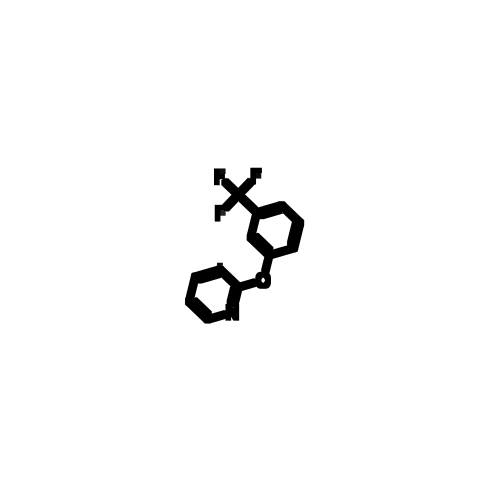 FC(F)(F)c1cccc(Oc2[c]cccn2)c1